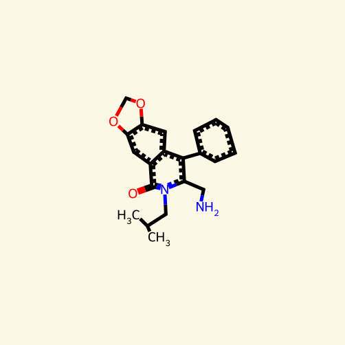 CC(C)Cn1c(CN)c(-c2ccccc2)c2cc3c(cc2c1=O)OCO3